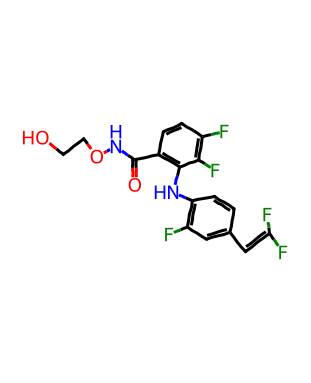 O=C(NOCCO)c1ccc(F)c(F)c1Nc1ccc(C=C(F)F)cc1F